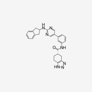 O=C(Nc1cccc(-c2cnc(NC3Cc4ccccc4C3)nc2)c1)[C@H]1CCc2[nH]nnc2C1